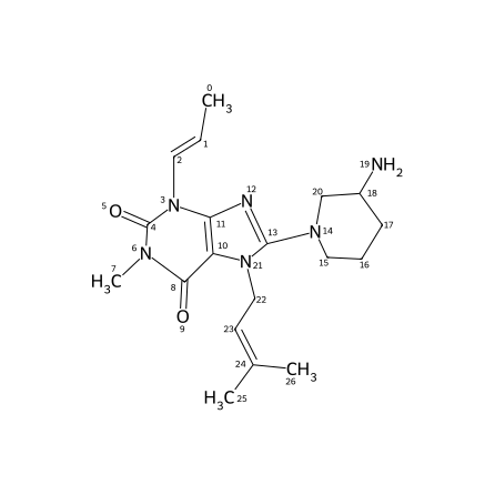 CC=Cn1c(=O)n(C)c(=O)c2c1nc(N1CCCC(N)C1)n2CC=C(C)C